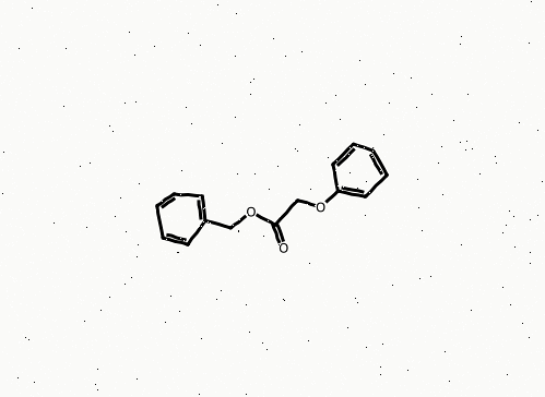 O=C(COc1cc[c]cc1)OCc1ccccc1